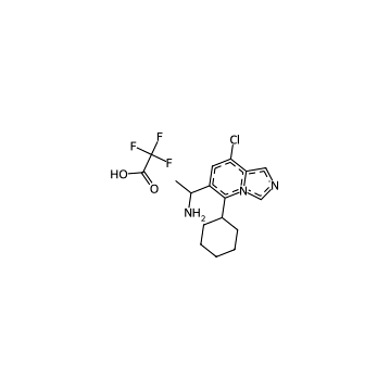 CC(N)c1cc(Cl)c2cncn2c1C1CCCCC1.O=C(O)C(F)(F)F